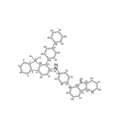 CC1(C)c2ccccc2-c2ccc(Nc3ccc(-c4cccc5c4sc4ccccc45)cc3)c(-c3ccc(-c4ccccc4)cc3)c21